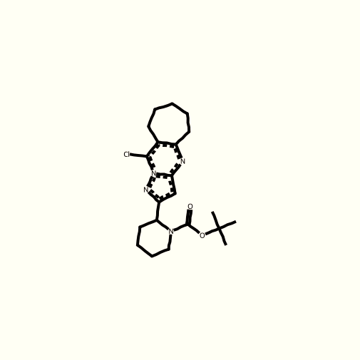 CC(C)(C)OC(=O)N1CCCCC1c1cc2nc3c(c(Cl)n2n1)CCCCC3